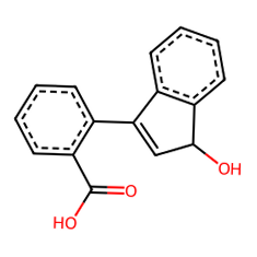 O=C(O)c1ccccc1C1=CC(O)c2ccccc21